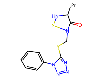 CC(C)C1NSN(CSc2nnnn2-c2ccccc2)C1=O